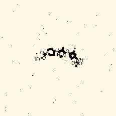 Cc1c(Oc2ccc(NS(C)(=O)=O)cc2F)ncnc1OC1CCN(C(=O)OC(C)C)CC1